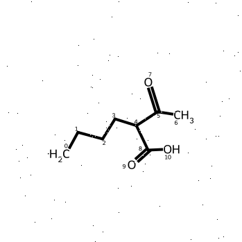 [CH2]CCCC(C(C)=O)C(=O)O